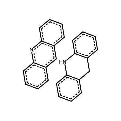 c1ccc2c(c1)Cc1ccccc1N2.c1ccc2nc3ccccc3cc2c1